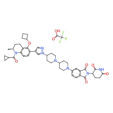 C[C@H]1CCc2c(ccc(-c3cnn(C4CCN(C5CCN(c6ccc7c(c6)C(=O)N(C6CCC(=O)NC6=O)C7=O)CC5)CC4)c3)c2OC2CCC2)N1C(=O)C1CC1.O=C(O)C(F)(F)F